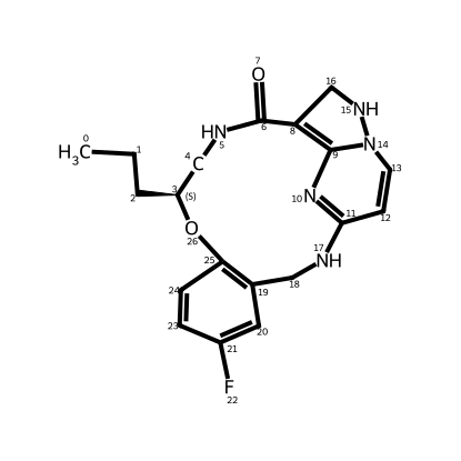 CCC[C@H]1CNC(=O)C2=C3N=C(C=CN3NC2)NCc2cc(F)ccc2O1